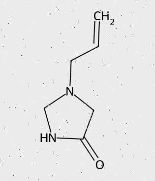 C=CCN1CNC(=O)C1